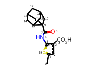 Cc1cc(C(=O)O)c(NC(=O)C23CC4CC(CC2C4)C3)s1